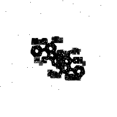 COc1c(C(C)(C)C)cc2c(c1-c1ccccc1)C(C)=C(CC(C)C)C2(Cl)[SiH2]C1(Cl)C(CC(C)C)=C(C)c2c1cc(C(C)(C)C)c(OC)c2-c1ccccc1.[Zr]